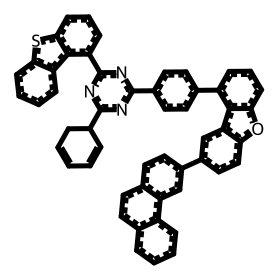 C1=CCC(c2nc(-c3ccc(-c4cccc5oc6ccc(-c7ccc8ccc9ccccc9c8c7)cc6c45)cc3)nc(-c3cccc4sc5ccccc5c34)n2)C=C1